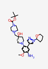 COc1cc(N2CCC(O)(CN3CCN(C(=O)OC(C)(C)C)CC3)CC2)c(-c2cnn(C3CCCCO3)c2)cc1N